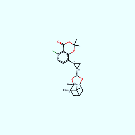 CC1(C)OC(=O)c2c(F)ccc([C@H]3C[C@H]3B3OC4CC5C[C@@H](C5(C)C)[C@]4(C)O3)c2O1